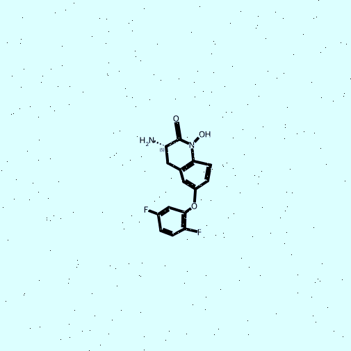 N[C@H]1Cc2cc(Oc3cc(F)ccc3F)ccc2N(O)C1=O